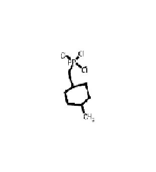 CC1CCC(C[PH](Cl)(Cl)Cl)CC1